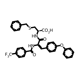 O=C(N[C@@H](CSCc1ccccc1)C(=O)O)/C(=C\c1ccc(Oc2ccccc2)cc1)NC(=O)c1ccc(C(F)(F)F)cc1